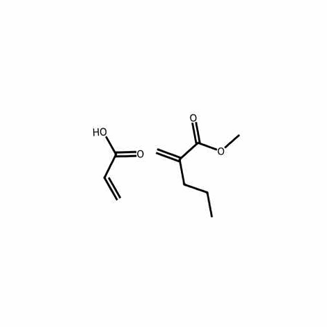 C=C(CCC)C(=O)OC.C=CC(=O)O